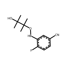 CC(C)(O)C(C)(C)OBc1cc(C#N)ccc1F